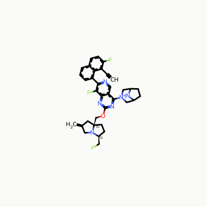 C#Cc1c(F)ccc2cccc(-c3ncc4c(N5CC6CCC(C5)N6)nc(OC[C@@]56CC[C@@H](CF)N5CC(=C)C6)nc4c3F)c12